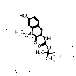 CON1C(=O)[C@H](NC(=O)OC(C)(C)C)Cc2ccc(O)cc21